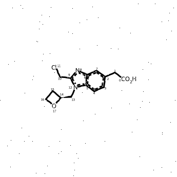 O=C(O)Cc1ccc2c(c1)nc(CCl)n2C[C@@H]1CCO1